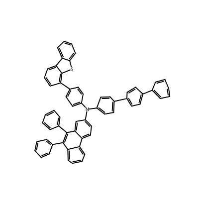 c1ccc(-c2ccc(-c3ccc(N(c4ccc(-c5cccc6c5sc5ccccc56)cc4)c4ccc5c(c4)c(-c4ccccc4)c(-c4ccccc4)c4ccccc45)cc3)cc2)cc1